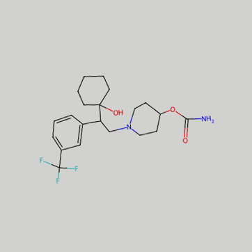 NC(=O)OC1CCN(CC(c2cccc(C(F)(F)F)c2)C2(O)CCCCC2)CC1